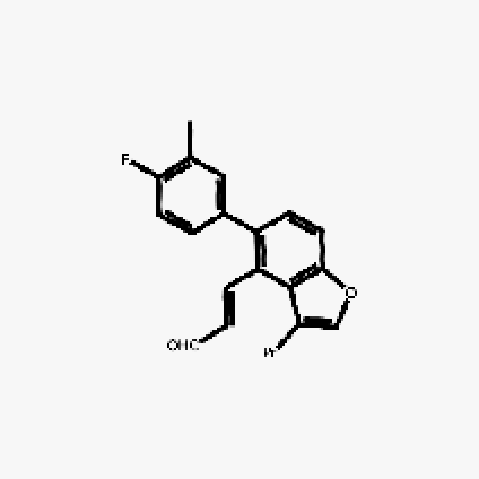 Cc1cc(-c2ccc3occ(C(C)C)c3c2/C=C/C=O)ccc1F